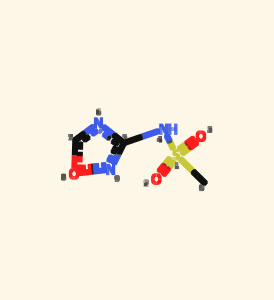 CS(=O)(=O)Nc1n[c]on1